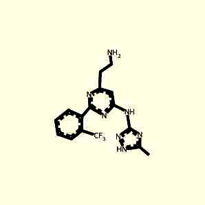 Cc1nc(Nc2cc(CCN)nc(-c3ccccc3C(F)(F)F)n2)n[nH]1